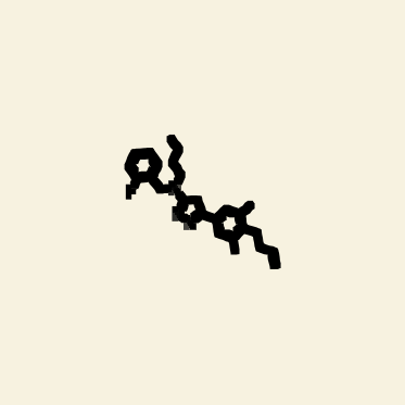 C=CCCc1c(C)cc(C2=NN=C(N(CCCC)Cc3ccccc3F)C2)cc1C